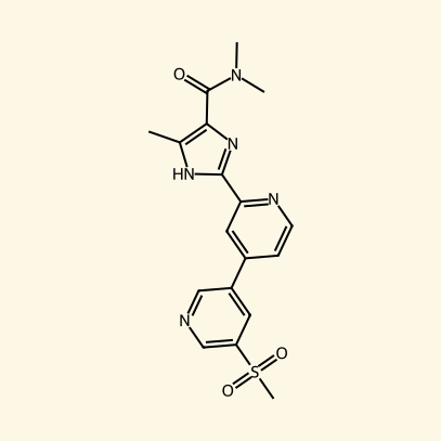 Cc1[nH]c(-c2cc(-c3cncc(S(C)(=O)=O)c3)ccn2)nc1C(=O)N(C)C